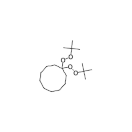 CC(C)(C)OOC1(OOC(C)(C)C)CCCCCCCCC1